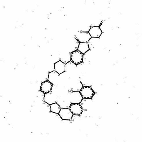 O=C1CCC(N2Cc3ccc(N4CCN(Cc5ccc(OC6CC7CNc8nnc(-c9cccc(F)c9O)cc8N7C6)nc5)CC4)cc3C2=O)C(=O)N1